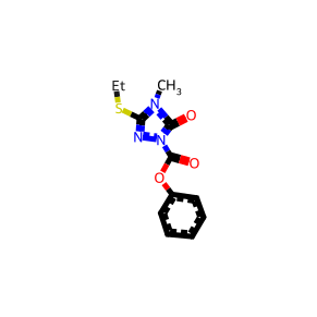 CCSc1nn(C(=O)Oc2ccccc2)c(=O)n1C